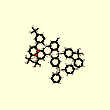 Cc1cc2c3c(c1)N(c1ccc(C(C)(C)C)cc1-c1ccc(C(C)(C)C)cc1)c1ccc(C(C)(C)C)cc1B3c1ccc(N(c3ccccc3)c3ccccc3)cc1N2c1ccc2c(c1)-c1ccccc1C2(C)C